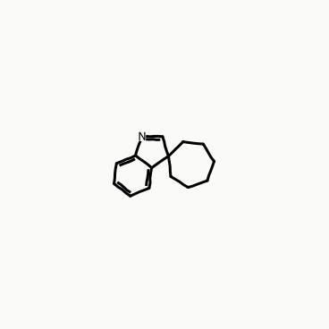 C1=Nc2ccccc2C12CCCCCC2